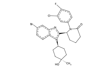 C[C@]1(O)CC[C@@H](n2c([C@@H]3CCCC(=O)N3c3ccc(F)c(Cl)c3)nc3cc(Br)ccc32)CC1